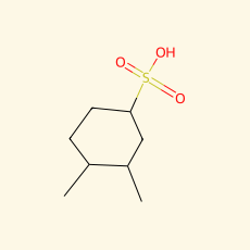 CC1CCC(S(=O)(=O)O)CC1C